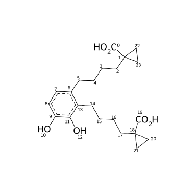 O=C(O)C1(CCCCc2ccc(O)c(O)c2CCCCC2(C(=O)O)CC2)CC1